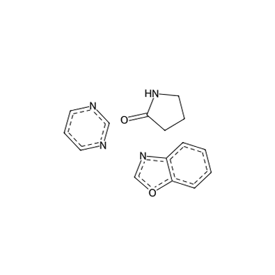 O=C1CCCN1.c1ccc2ocnc2c1.c1cncnc1